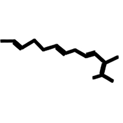 CC=CCCC=CCC=CC(C)=C(C)C